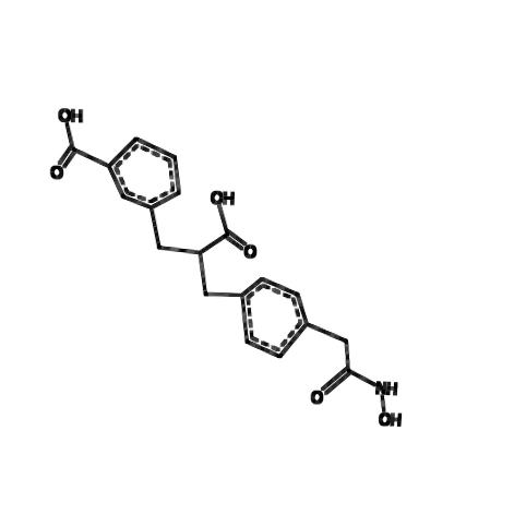 O=C(Cc1ccc(CC(Cc2cccc(C(=O)O)c2)C(=O)O)cc1)NO